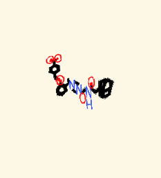 COC(=O)c1ccc(COc2ccccc2C(C)N2CCN(C(=O)CNC(=O)CC34CC5CC(CC(C5)C3)C4)CC2)cc1